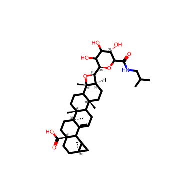 CC(C)CNC(=O)C1O[C@@H]([C@@H]2O[C@@]3(C)C4CC[C@]5(C)C(CC=C6C7C8C[C@@]8(C)CC[C@]7(C(=O)O)CC[C@]65C)[C@@]4(C)CC[C@H]23)C(O)C(O)[C@@H]1O